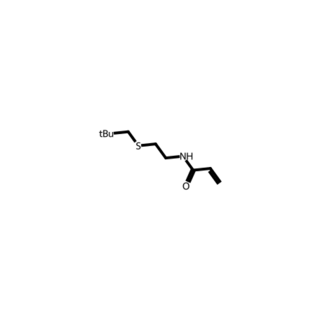 C=CC(=O)NCCSCC(C)(C)C